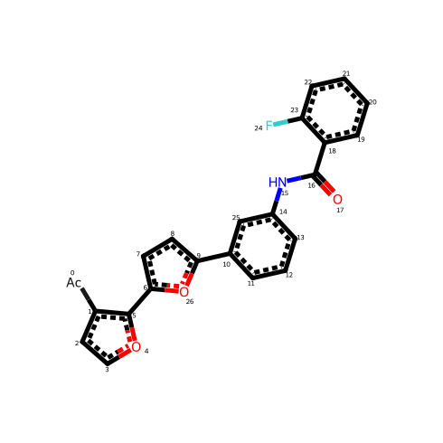 CC(=O)c1ccoc1-c1ccc(-c2cccc(NC(=O)c3ccccc3F)c2)o1